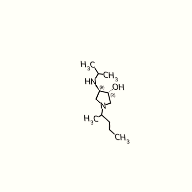 CCCC(C)N1C[C@@H](O)[C@H](NC(C)C)C1